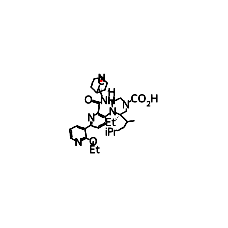 CCOc1ncccc1-c1ccc(N2CCN(C(=O)O)C[C@@]2(CC)C(C)CC(C)C)c(C(=O)N[C@@H]2CN3CCC2CC3)n1